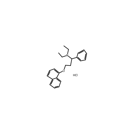 CCN(CC)C(CCOc1cccc2ccccc12)c1ccccc1.Cl